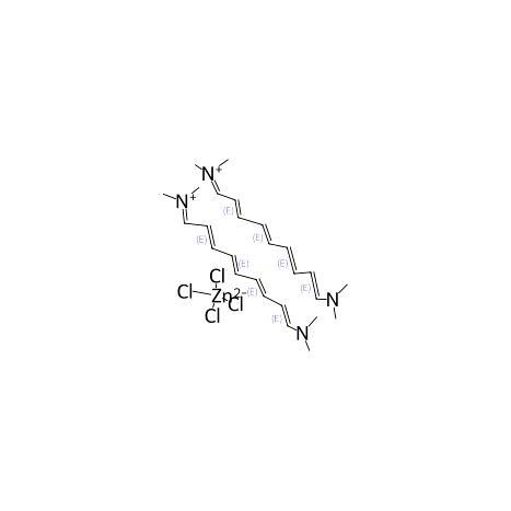 CN(C)/C=C/C=C/C=C/C=C/C=[N+](C)C.CN(C)/C=C/C=C/C=C/C=C/C=[N+](C)C.[Cl][Zn-2]([Cl])([Cl])[Cl]